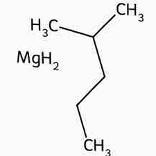 CCCC(C)C.[MgH2]